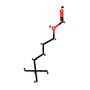 CC(C)(C)CCCCOC=O